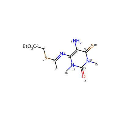 CCOC(=O)CS/C(C)=N/c1c(N)c(=S)n(C)c(=O)n1C